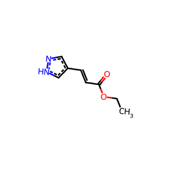 CCOC(=O)C=Cc1cn[nH]c1